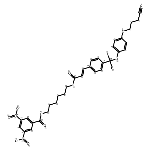 N#CCCCOc1ccc(OC(F)(F)c2ccc(/C=C/C(=O)OCCCCCCOC(=O)c3cc([N+](=O)[O-])cc([N+](=O)[O-])c3)cc2)cc1